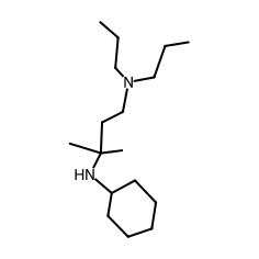 CCCN(CCC)CCC(C)(C)NC1CCCCC1